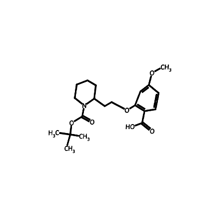 COc1ccc(C(=O)O)c(OCCC2CCCCN2C(=O)OC(C)(C)C)c1